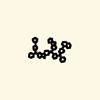 c1ccc(-c2ccc(N(c3ccccc3)c3ccc4sc5cc(N(c6cccc(N(c7ccccc7)c7ccc(-c8cccc9ccccc89)cc7)c6)c6ccc7oc8ccccc8c7c6)ccc5c4c3)cc2)cc1